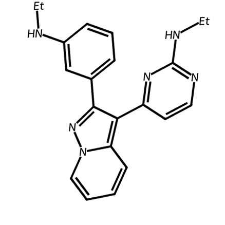 CCNc1cccc(-c2nn3ccccc3c2-c2ccnc(NCC)n2)c1